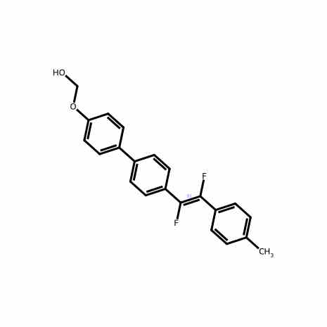 Cc1ccc(/C(F)=C(\F)c2ccc(-c3ccc(OCO)cc3)cc2)cc1